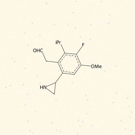 COc1cc(C2CN2)c(CC=O)c(C(C)C)c1F